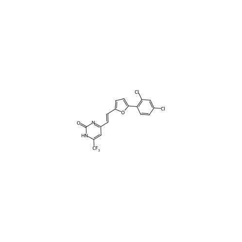 O=c1nc(/C=C/c2ccc(-c3ccc(Cl)cc3Cl)o2)cc(C(F)(F)F)[nH]1